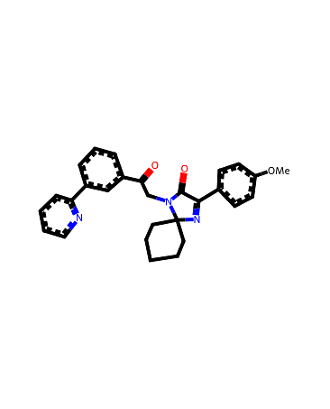 COc1ccc(C2=NC3(CCCCC3)N(CC(=O)c3cccc(-c4ccccn4)c3)C2=O)cc1